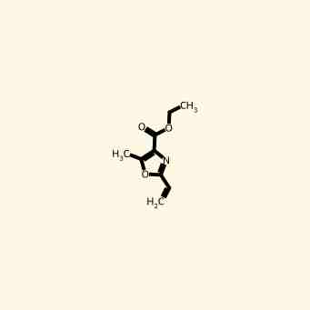 C=Cc1nc(C(=O)OCC)c(C)o1